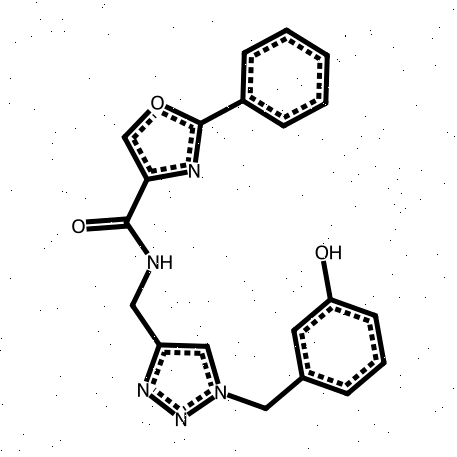 O=C(NCc1cn(Cc2cccc(O)c2)nn1)c1coc(-c2ccccc2)n1